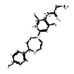 Cc1cc(N2CCOC(c3ccc(F)cc3)CC2)nc(C)c1NC(=O)CC(C)(C)C